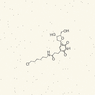 O=C(CCc1cn([C@H]2C[C@H](O)[C@@H](CO)O2)c(=O)[nH]c1=O)NCCCCCCCl